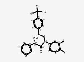 Cc1ccc(N(CCc2ccc(C(F)(F)F)cc2)C(=O)[C@H](O)c2ccccc2)cc1C